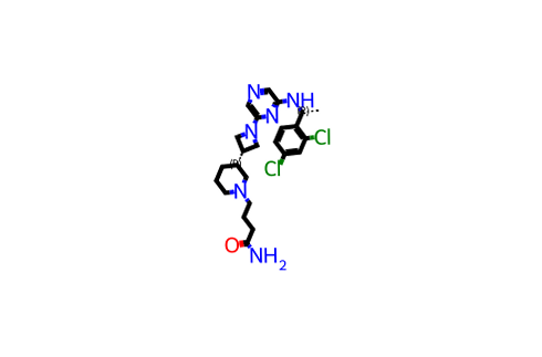 C[C@@H](Nc1cncc(N2CC([C@H]3CCCN(CCCC(N)=O)C3)C2)n1)c1ccc(Cl)cc1Cl